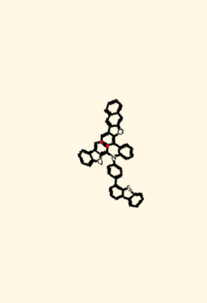 c1ccc(N(c2ccc(-c3cccc4c3sc3ccccc34)cc2)c2cccc3c2oc2ccccc23)c(-c2cccc3c2oc2cc4ccccc4cc23)c1